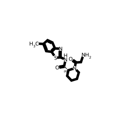 Cc1ccc2nc(NC(=O)[C@H]3CCCCN3C(=O)CN)sc2c1